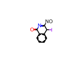 O=NC1=NC(=O)c2ccccc2C1I